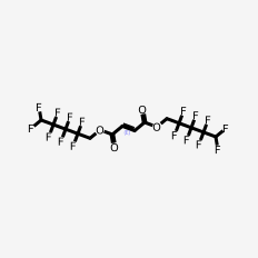 O=C(/C=C/C(=O)OCC(F)(F)C(F)(F)C(F)(F)C(F)F)OCC(F)(F)C(F)(F)C(F)(F)C(F)F